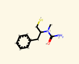 CN(C(N)=O)C(CS)Cc1ccccc1